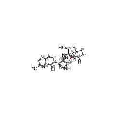 COc1cnc2ccc(-c3n[nH]c4nc(N5[C@@H]6CC[C@H]5C[C@@H](N)C6)c(CO)nc34)c(Cl)c2n1